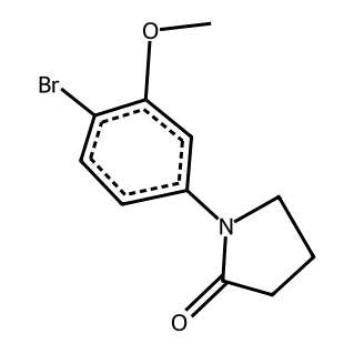 COc1cc(N2CCCC2=O)ccc1Br